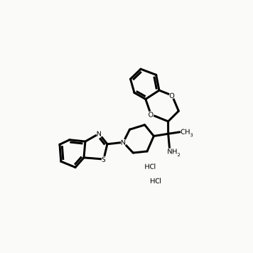 CC(N)(C1CCN(c2nc3ccccc3s2)CC1)C1COc2ccccc2O1.Cl.Cl